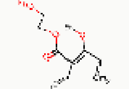 C=CC(OCC)=C(C=C)C(=O)OCCO